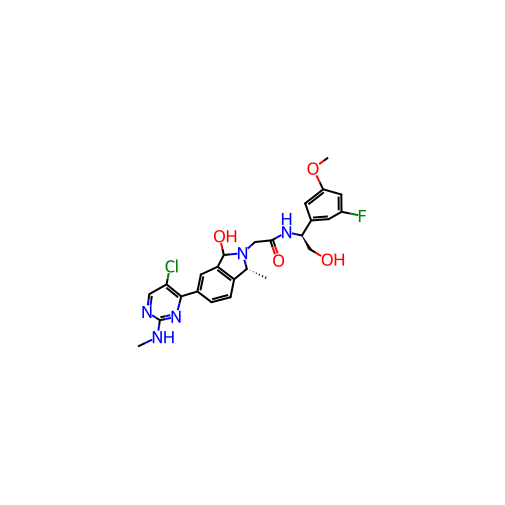 CNc1ncc(Cl)c(-c2ccc3c(c2)C(O)N(CC(=O)N[C@H](CO)c2cc(F)cc(OC)c2)[C@@H]3C)n1